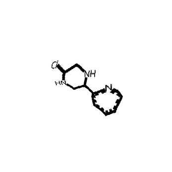 ClC1CNC(c2ccccn2)CN1